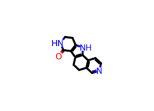 O=C1NCCc2[nH]c3c(c21)CCc1cnccc1-3